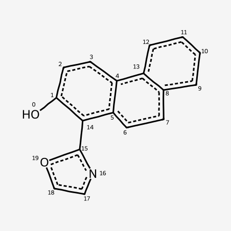 Oc1ccc2c(ccc3ccccc32)c1-c1ncco1